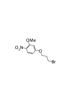 COc1cc(OCCCBr)ccc1[N+](=O)[O-]